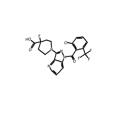 O=C(c1c(Cl)cccc1C(F)(F)F)n1nc(N2CCC(F)(C(=O)O)CC2)c2ncccc21